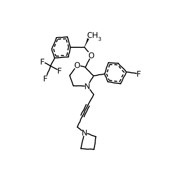 C[C@@H](OC1OCCN(CC#CCN2CCC2)C1c1ccc(F)cc1)c1cccc(C(F)(F)F)c1